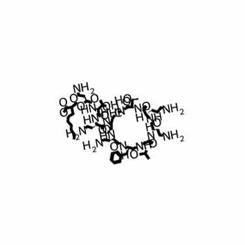 CCCCCC1CC(C(=O)O[C@@H](CCN)C(=O)N[C@H](C(=O)N[C@@H](CCN)C(=O)N[C@H]2CCNC(=O)[C@H]([C@H](C)O)NC(=O)[C@H](CCCN)NC(=O)[C@H](CCN)NC(=O)[C@H](CC(C)C)NC(=O)[C@@H](Cc3ccccc3)NC(=O)[C@H](CCN)NC2=O)C(C)O)C(=O)O1